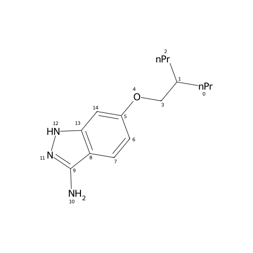 CCCC(CCC)COc1ccc2c(N)n[nH]c2c1